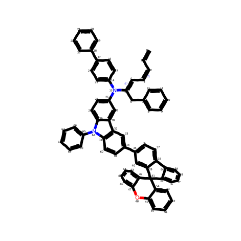 C=C/C=C\C=C(/Cc1ccccc1)N(c1ccc(-c2ccccc2)cc1)c1ccc2c(c1)c1cc(-c3ccc4c(c3)C3(c5ccccc5Oc5ccccc53)c3ccccc3-4)ccc1n2-c1ccccc1